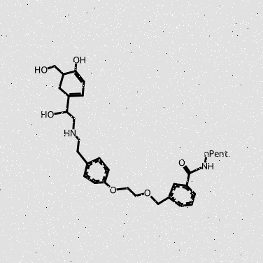 CCCCCNC(=O)c1cccc(COCCOc2ccc(CCNCC(O)C3=CC=C(O)C(CO)C3)cc2)c1